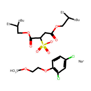 CCCCC(CC)COC(=O)CC(C(=O)OCC(CC)CCCC)S(=O)(=O)[O-].O=S(=O)(O)OCCOc1ccc(Cl)cc1Cl.[Na+]